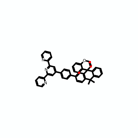 CC1(C)c2ccccc2C2(c3ccccc3Oc3ccccc32)c2cc(-c3ccc(-c4cc(-c5ccccn5)nc(-c5ccccn5)c4)cc3)ccc21